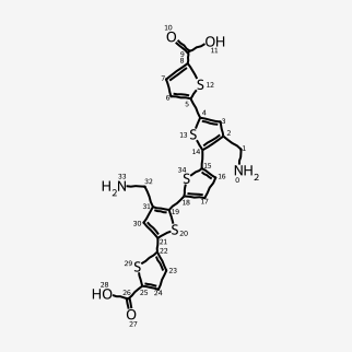 NCc1cc(-c2ccc(C(=O)O)s2)sc1-c1ccc(-c2sc(-c3ccc(C(=O)O)s3)cc2CN)s1